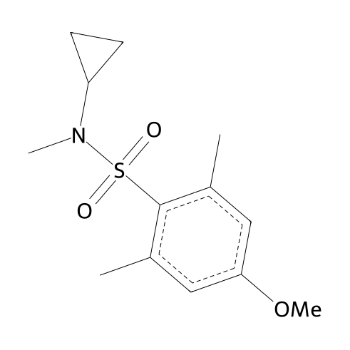 COc1cc(C)c(S(=O)(=O)N(C)C2CC2)c(C)c1